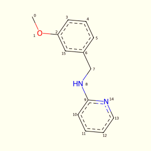 COc1cccc(CNc2ccccn2)c1